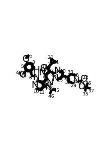 COc1ccc(CNc2nccc3c2c(-c2noc(C4CC4)c2-c2ncc(C4=CCN(C(=O)OC(C)(C)C)CC4)cn2)nn3C(C)C)c(OC)c1